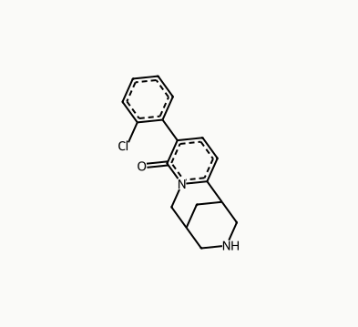 O=c1c(-c2ccccc2Cl)ccc2n1CC1CNCC2C1